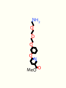 COC(=O)c1ccc(Oc2cccc(OCCOCCOCCN)c2)nc1